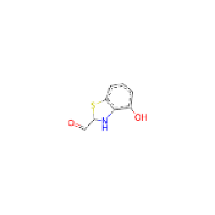 O=CC1Nc2c(O)cccc2S1